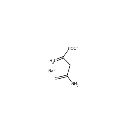 C=C(CC(N)=O)C(=O)[O-].[Na+]